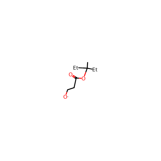 CCC(C)(CC)OC(=O)CC[O]